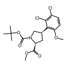 COC(=O)[C@@H]1C[C@H](c2c(OC)ccc(Cl)c2Cl)CN1C(=O)OC(C)(C)C